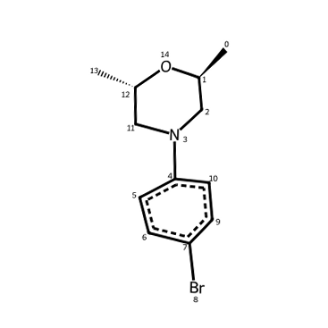 C[C@H]1CN(c2ccc(Br)cc2)C[C@H](C)O1